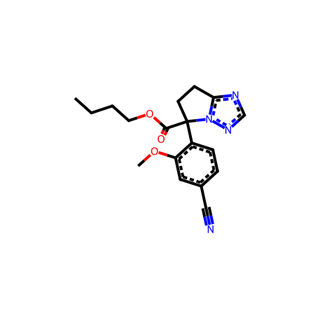 CCCCOC(=O)C1(c2ccc(C#N)cc2OC)CCc2ncnn21